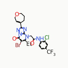 CCc1c(Br)c(=O)n2nc(C3=CCOCCC3)nc2n1CC(=O)Nc1ccc(C(F)(F)F)cc1Cl